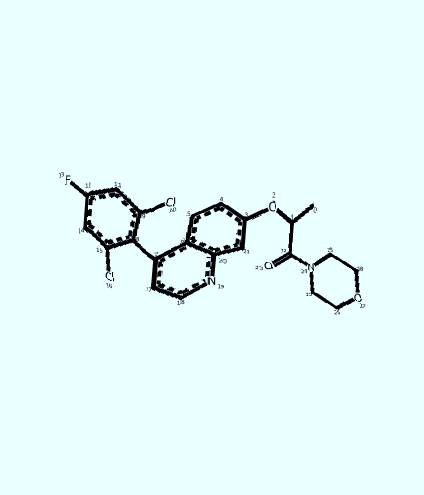 CC(Oc1ccc2c(-c3c(Cl)cc(F)cc3Cl)ccnc2c1)C(=O)N1CCOCC1